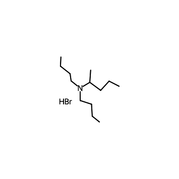 Br.CCCCN(CCCC)C(C)CCC